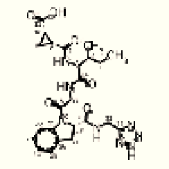 CC[C@H](C)[C@H](NC(=O)[C@H]1C[C@@H]1C(=O)O)C(=O)NCC(=O)N1c2ccccc2C[C@H]1C(=O)NCc1nn[nH]n1